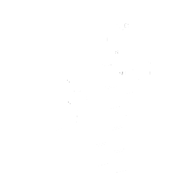 CCOC(=O)Cc1csc(N)n1.CCOC(=O)Cc1csc(NC(=O)C(CC2CCCC2)c2ccc(-c3cccc4ccccc34)cc2)n1